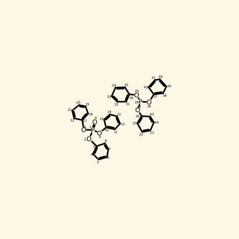 O=P(Oc1ccccc1)(Oc1ccccc1)Oc1ccccc1.c1ccc(OP(Oc2ccccc2)Oc2ccccc2)cc1